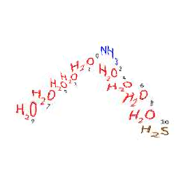 N.O.O.O.O.O.O.O.O.O.S